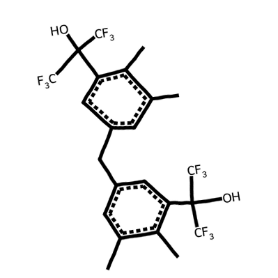 Cc1cc(Cc2cc(C)c(C)c(C(O)(C(F)(F)F)C(F)(F)F)c2)cc(C(O)(C(F)(F)F)C(F)(F)F)c1C